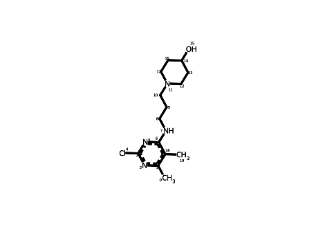 Cc1nc(Cl)nc(NCCCN2CCC(O)CC2)c1C